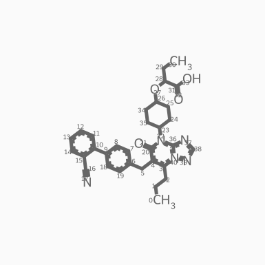 CCCc1c(Cc2ccc(-c3ccccc3C#N)cc2)c(=O)n(C2CCC(OC(CC)C(=O)O)CC2)c2ncnn12